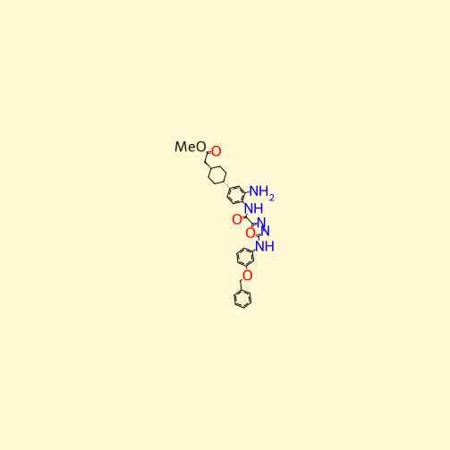 COC(=O)C[C@H]1CC[C@H](c2ccc(NC(=O)c3nnc(Nc4cccc(OCc5ccccc5)c4)o3)c(N)c2)CC1